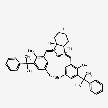 CC(C)(C)c1cc(C=[N+]2[Mn][N+](=Cc3cc(C(C)(C)C)cc(C(C)(C)c4ccccc4)c3O)[C@@H]3CCCC[C@H]32)c(O)c(C(C)(C)c2ccccc2)c1.[I-]